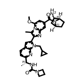 COc1cc(C(=O)N2[C@H]3CC[C@@H]2[C@H](N)C3)cc2nc(-c3cc4ccc([C@@H](C)NC(=O)N5CCC5)nc4n3CC3CC3)c(C)n12